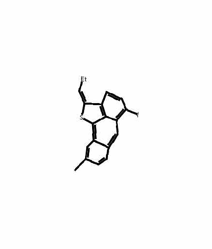 CCC=c1sc2c3cc(C)ccc3cc3c(I)ccc1c32